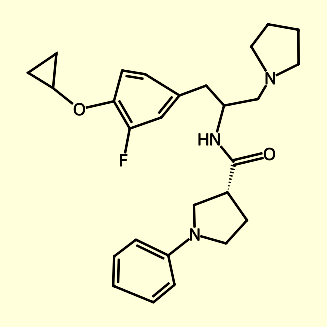 O=C(NC(Cc1ccc(OC2CC2)c(F)c1)CN1CCCC1)[C@@H]1CCN(c2ccccc2)C1